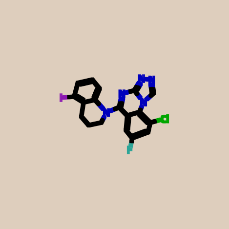 Fc1cc(Cl)c2c(c1)c(N1CCCc3c(I)cccc31)nc1nncn12